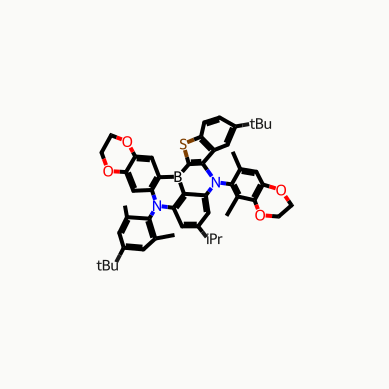 Cc1cc(C(C)(C)C)cc(C)c1N1c2cc3c(cc2B2c4sc5ccc(C(C)(C)C)cc5c4N(c4c(C)cc5c(c4C)OCCO5)c4cc(C(C)C)cc1c42)OCCO3